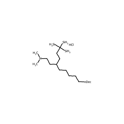 CCCCCCCCCCCCCCCC(CCN(C)C)CCC([SiH3])([SiH3])[SiH3].Cl